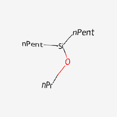 CCCCC[Si](CCCCC)OCCC